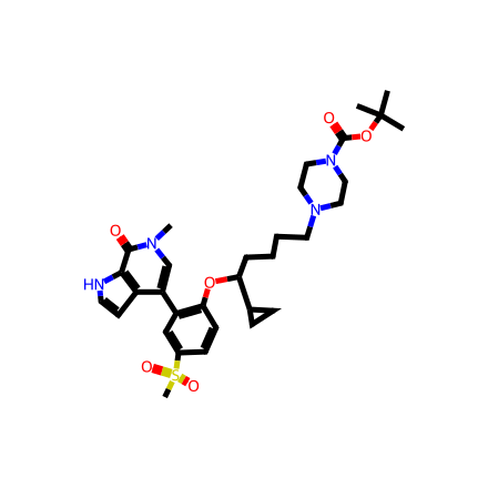 Cn1cc(-c2cc(S(C)(=O)=O)ccc2OC(CCCCN2CCN(C(=O)OC(C)(C)C)CC2)C2CC2)c2cc[nH]c2c1=O